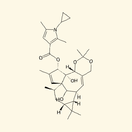 CC1=C[C@]23C(O)[C@@H](C=C4COC(C)(C)O[C@H]4[C@]2(O)[C@H]1OC(=O)c1cc(C)n(C2CC2)c1C)[C@H]1[C@@H](C[C@H]3C)C1(C)C